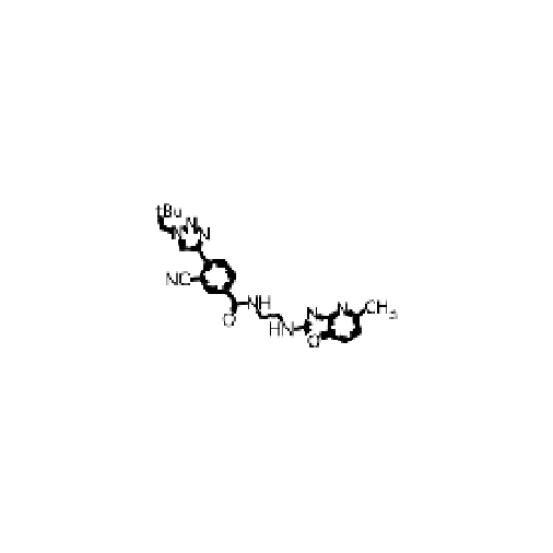 Cc1ccc2oc(NCCNC(=O)c3ccc(-c4cn(CC(C)(C)C)nn4)c(C#N)c3)nc2n1